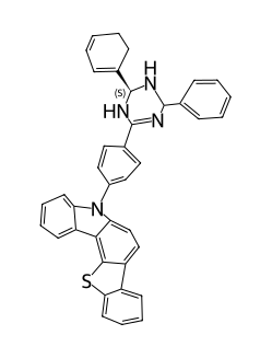 C1=CCCC([C@@H]2NC(c3ccc(-n4c5ccccc5c5c6sc7ccccc7c6ccc54)cc3)=NC(c3ccccc3)N2)=C1